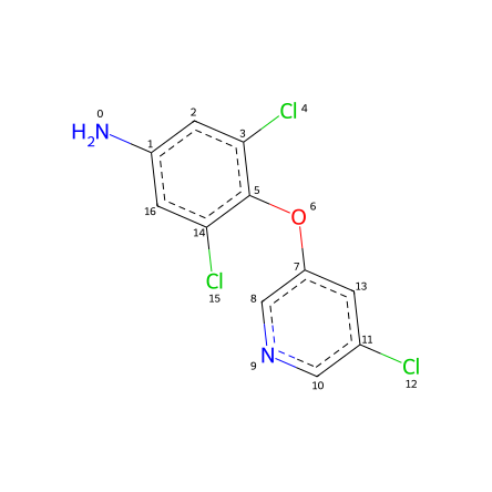 Nc1cc(Cl)c(Oc2cncc(Cl)c2)c(Cl)c1